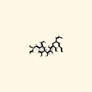 C=CC=CC(/C=C\C)C/C(C=C)=C(C)/C(C)=C(C)\C(=C\C(\C=C\N(C)C=C)=C/C)C(=C)C